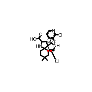 CC1(C)CCC2(CC1)NC(C(=O)O)[C@H](c1ccnc(Cl)c1F)[C@]21C(=O)Nc2cc(Cl)ccc21